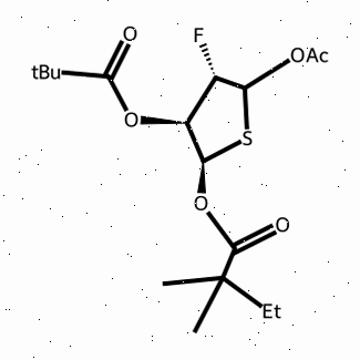 CCC(C)(C)C(=O)O[C@@H]1SC(OC(C)=O)[C@@H](F)[C@@H]1OC(=O)C(C)(C)C